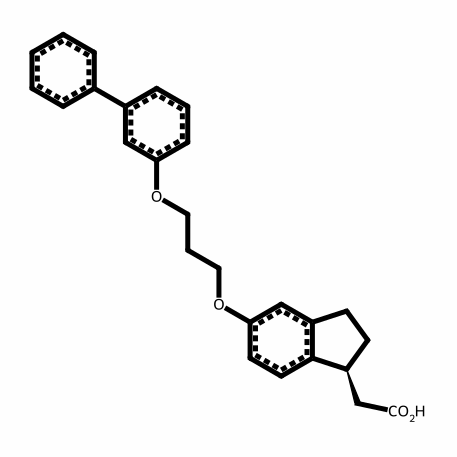 O=C(O)C[C@@H]1CCc2cc(OCCCOc3cccc(-c4ccccc4)c3)ccc21